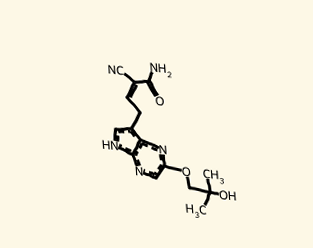 CC(C)(O)COc1cnc2[nH]cc(CC=C(C#N)C(N)=O)c2n1